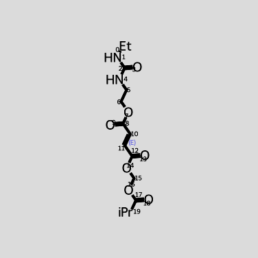 CCNC(=O)NCCOC(=O)/C=C/C(=O)OCOC(=O)C(C)C